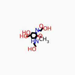 COC1=C(NCCO)C[C@](O)(CO)CC1=NCC(=O)O